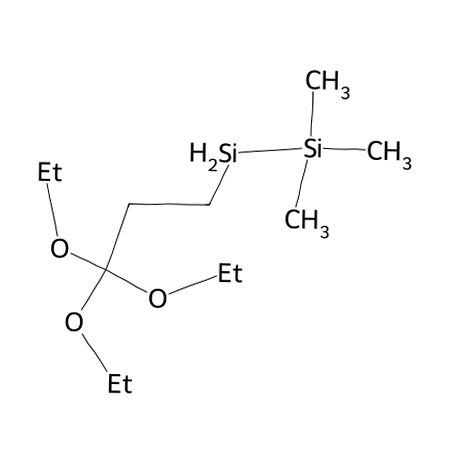 CCOC(CC[SiH2][Si](C)(C)C)(OCC)OCC